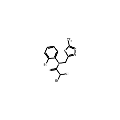 CCc1ccccc1N(Cc1nnc(C(F)(F)F)s1)C(=O)C(Cl)CC